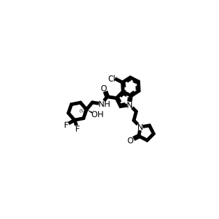 O=C(NC[C@]1(O)CCCC(F)(F)C1)c1cn(CCN2CCCC2=O)c2cccc(Cl)c12